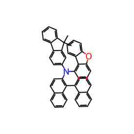 CC1(C)c2ccccc2-c2ccc(N(c3ccc4ccccc4c3-c3cccc4ccccc34)c3cccc4oc5ccccc5c34)cc21